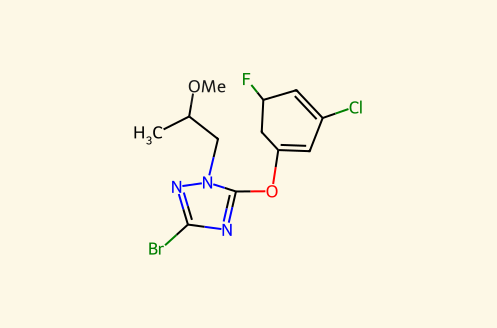 COC(C)Cn1nc(Br)nc1OC1=CC(Cl)=CC(F)C1